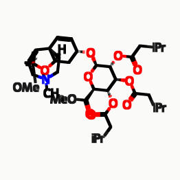 COC(=O)[C@H]1O[C@@H](O[C@H]2C=C[C@@]34CCN(C)Cc5ccc(OC)c(c53)O[C@H]4C2)[C@H](OC(=O)CC(C)C)[C@@H](OC(=O)CC(C)C)[C@@H]1OC(=O)CC(C)C